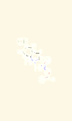 CC(=O)ONC(=O)c1cc2cc(Cl)ccc2[nH]1